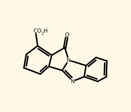 O=C(O)c1cccc2c1C(=O)n1c-2nc2ccccc21